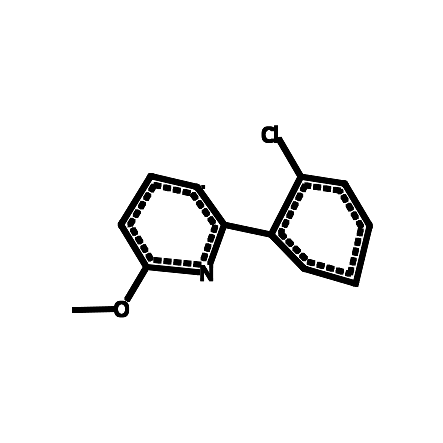 COc1cc[c]c(-c2ccccc2Cl)n1